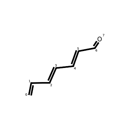 C=CC=CC=CC=O